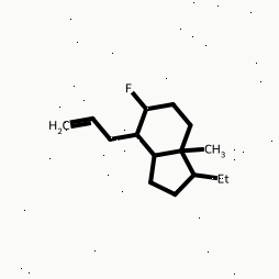 C=CCC1C(F)CCC2(C)C(CC)CCC12